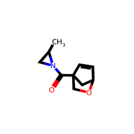 CC1CN1C(=O)C12C=CC(C1)OC2